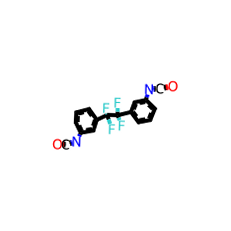 O=C=Nc1cccc(C(F)(F)C(F)(F)c2cccc(N=C=O)c2)c1